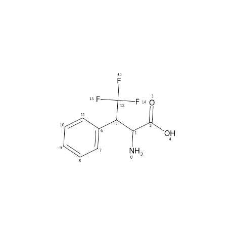 NC(C(=O)O)C(c1ccccc1)C(F)(F)F